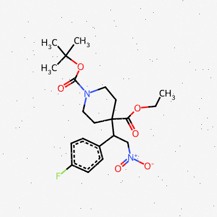 CCOC(=O)C1(C(C[N+](=O)[O-])c2ccc(F)cc2)CCN(C(=O)OC(C)(C)C)CC1